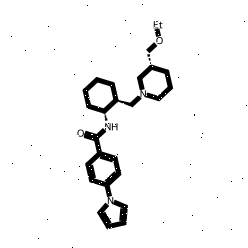 CCOC[C@@H]1CCCN(C[C@@H]2CCCC[C@H]2NC(=O)c2ccc(-n3cccc3)cc2)C1